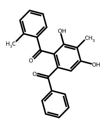 Cc1ccccc1C(=O)c1c(C(=O)c2ccccc2)cc(O)c(C)c1O